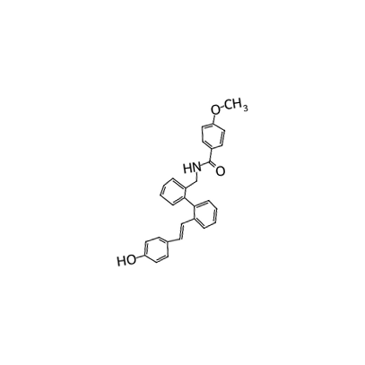 COc1ccc(C(=O)NCc2ccccc2-c2ccccc2/C=C/c2ccc(O)cc2)cc1